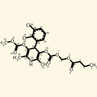 CCCC(=O)OCOC(=O)OC1=C(C)NC(C)=C(OC(=O)OC)C1c1cccc(Cl)c1Cl